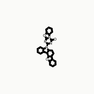 O=c1nc(-n2c3ccccc3c3c4oc5ccccc5c4ccc32)nc2oc3ccccc3n12